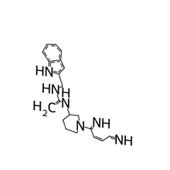 C=C(NCc1cc2ccccc2[nH]1)NC1CCCN(C(=N)/C=C\C=N)C1